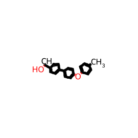 Cc1ccc(Oc2ccc(-c3ccc(C(C)O)cc3)cc2)cc1